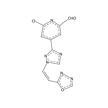 O=Cc1cc(-c2ncn(/C=C\c3nnco3)n2)cc(Cl)n1